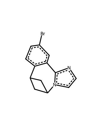 Brc1ccc2c(c1)-c1nccn1C1CC2C1